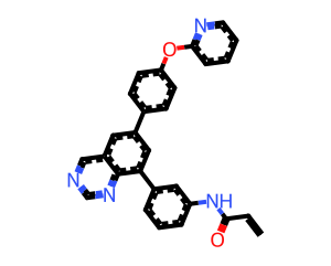 C=CC(=O)Nc1cccc(-c2cc(-c3ccc(Oc4ccccn4)cc3)cc3cncnc23)c1